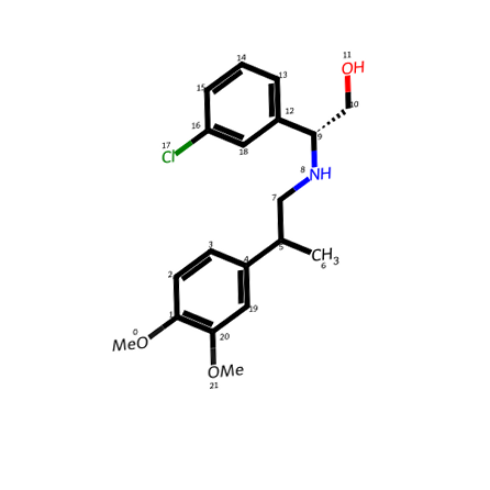 COc1ccc(C(C)CN[C@@H](CO)c2cccc(Cl)c2)cc1OC